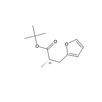 C[C@@H](Cc1ccco1)C(=O)OC(C)(C)C